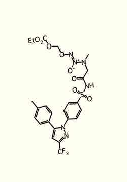 CCOC(=O)OCON=[N+]([O-])N(C)CC(=O)NS(=O)(=O)c1ccc(-n2nc(C(F)(F)F)cc2-c2ccc(C)cc2)cc1